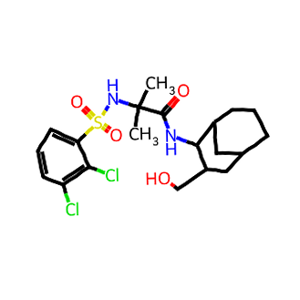 CC(C)(NS(=O)(=O)c1cccc(Cl)c1Cl)C(=O)NC1C(CO)CC2CCCC1C2